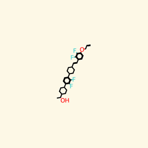 C=CCOc1ccc(/C=C/C2CCC(c3ccc(C4CCC(C(C)O)CC4)c(F)c3F)CC2)c(F)c1F